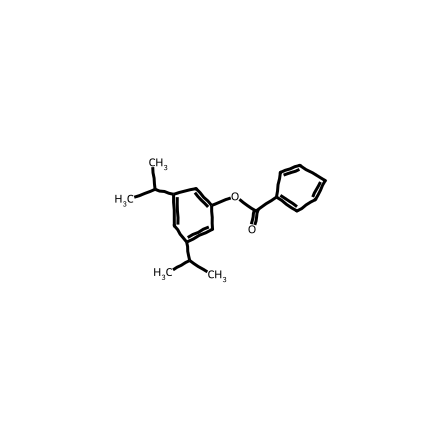 CC(C)c1cc(OC(=O)c2ccccc2)cc(C(C)C)c1